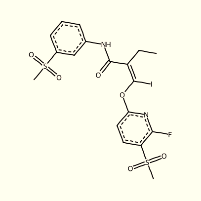 CC/C(C(=O)Nc1cccc(S(C)(=O)=O)c1)=C(\I)Oc1ccc(S(C)(=O)=O)c(F)n1